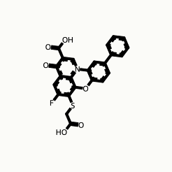 O=C(O)CSc1c(F)cc2c(=O)c(C(=O)O)cn3c2c1Oc1ccc(-c2ccccc2)cc1-3